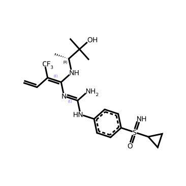 C=C/C(=C(\N=C(/N)Nc1ccc(S(=N)(=O)C2CC2)cc1)N[C@H](C)C(C)(C)O)C(F)(F)F